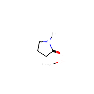 CCN1CCCC1=O.O=CO